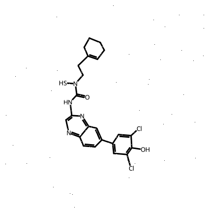 O=C(Nc1cnc2ccc(-c3cc(Cl)c(O)c(Cl)c3)cc2n1)N(S)CCC1=CCCCC1